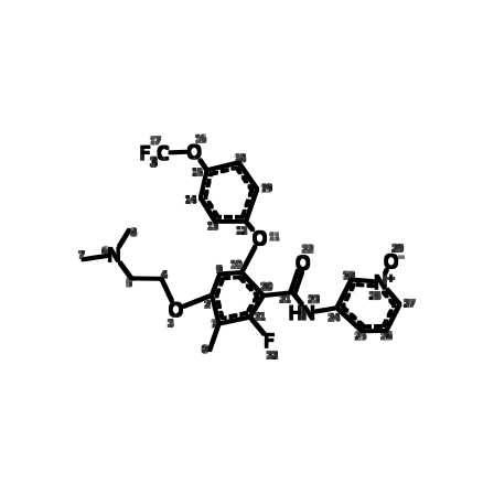 Cc1c(OCCN(C)C)cc(Oc2ccc(OC(F)(F)F)cc2)c(C(=O)Nc2ccc[n+]([O-])c2)c1F